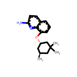 C[C@H]1C[C@H](Oc2cccc3ccc(N)nc23)CC(C)(C)C1